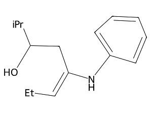 CCC=C(CC(O)C(C)C)Nc1ccccc1